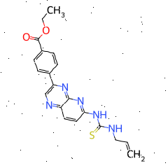 C=CCNC(=S)Nc1ccc2ncc(-c3ccc(C(=O)OCC)cc3)nc2n1